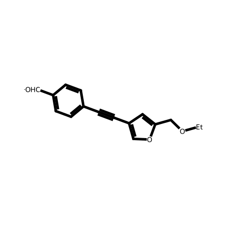 CCOCc1cc(C#Cc2ccc([C]=O)cc2)co1